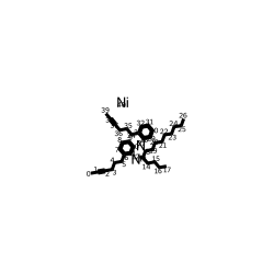 CC#CCCCc1ccccc1N=C(CCCC)C(CCCCCCCC)=Nc1ccccc1CCCC#CC.[Ni]